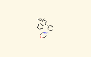 C1COCCN1.O=C(O)C=C(c1ccccc1)c1ccccc1